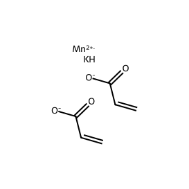 C=CC(=O)[O-].C=CC(=O)[O-].[KH].[Mn+2]